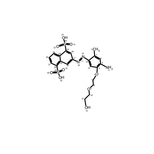 Cc1cc(N)c(OCCOCCO)cc1/N=N/c1cc(S(=O)(=O)O)c2cccc(S(=O)(=O)O)c2c1